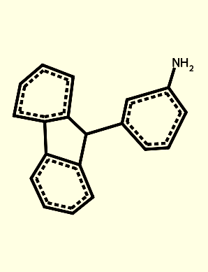 Nc1cccc(C2c3ccccc3-c3ccccc32)c1